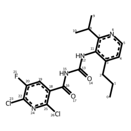 CCCc1ccnc(C(C)C)c1NC(=O)NC(=O)c1cc(F)c(Cl)nc1Cl